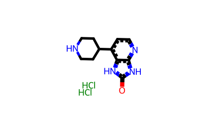 Cl.Cl.O=c1[nH]c2nccc(C3CCNCC3)c2[nH]1